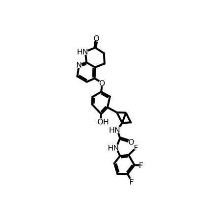 O=C1CCc2c(Oc3ccc(O)c(C4C5CC54NC(=O)Nc4ccc(F)c(F)c4F)c3)ccnc2N1